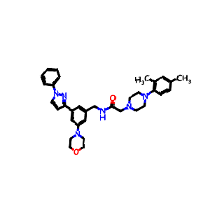 Cc1ccc(N2CCN(CC(=O)NCc3cc(-c4ccn(-c5ccccc5)n4)cc(N4CCOCC4)c3)CC2)c(C)c1